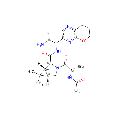 CC(C)(C)[C@H](NC(=O)C(F)(F)F)C(=O)N1C[C@H]2[C@@H]([C@H]1C(=O)NC(C(N)=O)c1cnc3c(n1)OCCC3)C2(C)C